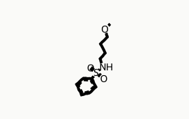 COCCCCNS(=O)(=O)c1ccccc1